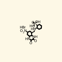 Br.O=c1[nH]c2cc([N+](=O)[O-])cc(CNc3ccccc3P(=O)(O)O)c2[nH]c1=O